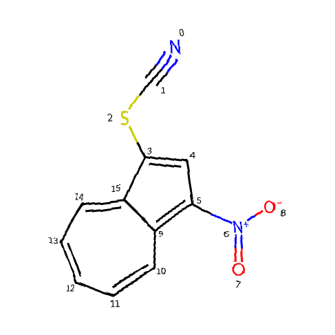 N#CSc1cc([N+](=O)[O-])c2cccccc1-2